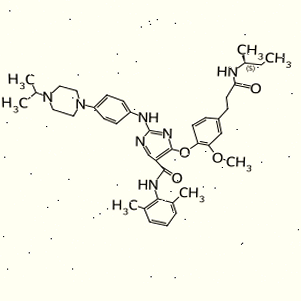 CC[C@H](C)NC(=O)CCc1ccc(Oc2nc(Nc3ccc(N4CCN(C(C)C)CC4)cc3)ncc2C(=O)Nc2c(C)cccc2C)c(OC)c1